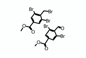 COC(=O)c1cc(Br)c(C=O)c(Br)c1.COC(=O)c1cc(Br)c(CBr)c(Br)c1